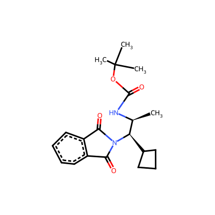 C[C@H](NC(=O)OC(C)(C)C)[C@@H](C1CCC1)N1C(=O)c2ccccc2C1=O